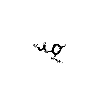 C=CC(=O)Nc1ccc(F)cc1NN